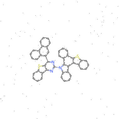 c1ccc2c(c1)cc(-c1nc(-n3c4ccccc4c4c5c6ccccc6sc5c5ccccc5c43)nc3c1sc1ccccc13)c1ccccc12